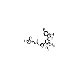 CC1(C)OC(=C2C(=O)Nc3cc(F)ccc32)C=C1c1csc(CNCCN2CCNC2=O)c1